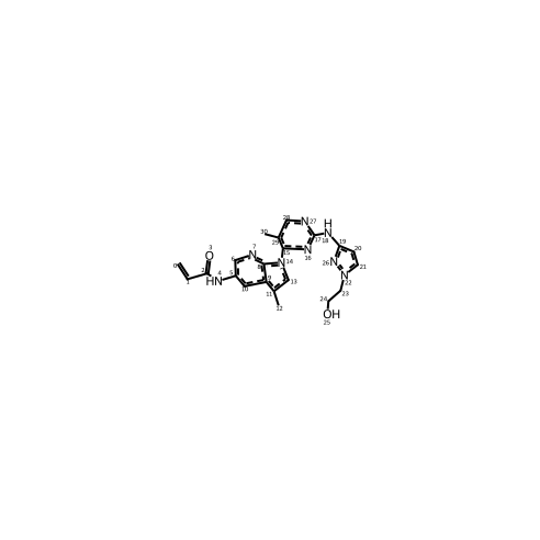 C=CC(=O)Nc1cnc2c(c1)c(C)cn2-c1nc(Nc2ccn(CCO)n2)ncc1C